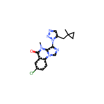 Cn1c(=O)c2cc(Cl)ccc2n2cnc(-n3nncc3CC3(C)CC3)c12